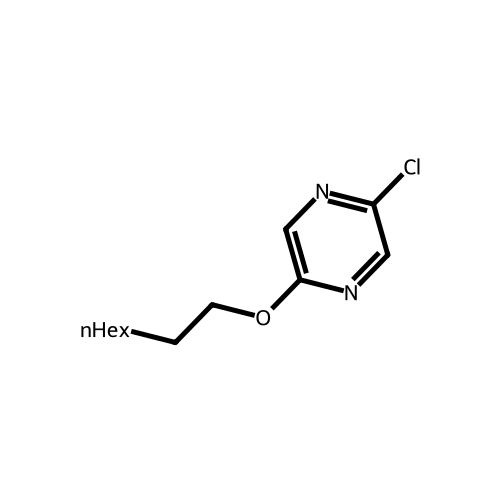 CCCCCCCCOc1cnc(Cl)cn1